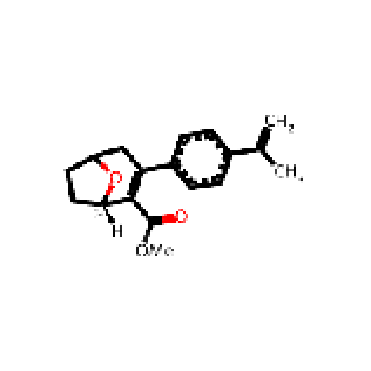 C=C(C)c1ccc(C2=C(C(=O)OC)[C@@H]3CCC(C2)O3)cc1